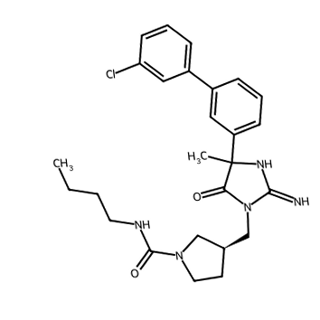 CCCCNC(=O)N1CC[C@H](CN2C(=N)NC(C)(c3cccc(-c4cccc(Cl)c4)c3)C2=O)C1